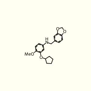 COc1ccc(NCc2ccc3c(c2)OCO3)cc1OC1CCCC1